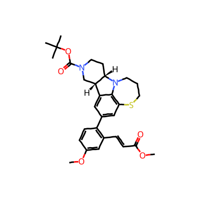 COC(=O)/C=C/c1cc(OC)ccc1-c1cc2c3c(c1)[C@@H]1CN(C(=O)OC(C)(C)C)CC[C@@H]1N3CCCS2